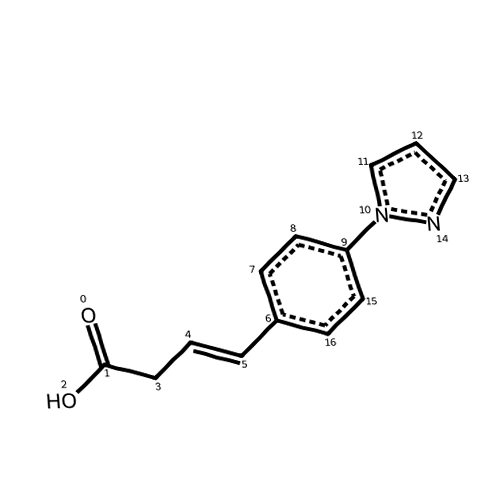 O=C(O)C/C=C/c1ccc(-n2cccn2)cc1